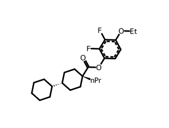 CCC[C@]1(C(=O)Oc2ccc(OCC)c(F)c2F)CC[C@@H](C2CCCCC2)CC1